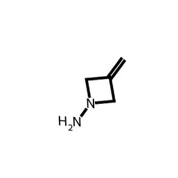 C=C1CN(N)C1